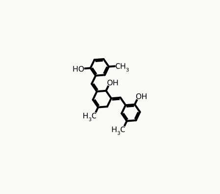 CC1=CC(=Cc2cc(C)ccc2O)C(O)C(=Cc2cc(C)ccc2O)C1